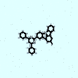 Cc1cc2c3ccccc3n3c4ccc(-c5nc(-c6ccccc6)cc(-c6ccccc6)n5)cc4c(c1)c23